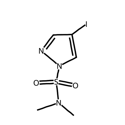 CN(C)S(=O)(=O)n1cc(I)cn1